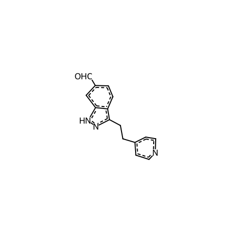 O=Cc1ccc2c(CCc3ccncc3)n[nH]c2c1